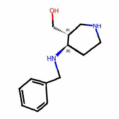 OC[C@@H]1CNCC[C@H]1NCc1ccccc1